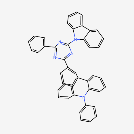 c1ccc(-c2nc(-c3cccc(-c4ccccc4N(c4ccccc4)c4ccccc4)c3)nc(-n3c4ccccc4c4ccccc43)n2)cc1